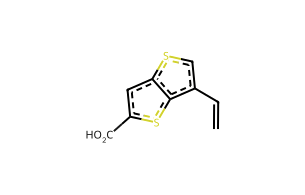 C=Cc1csc2cc(C(=O)O)sc12